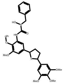 CCCOc1c(NC(=O)N(O)Cc2ccccc2)cc(C2CCC(c3cc(OC)c(OC)c(OC)c3)S2)cc1OC